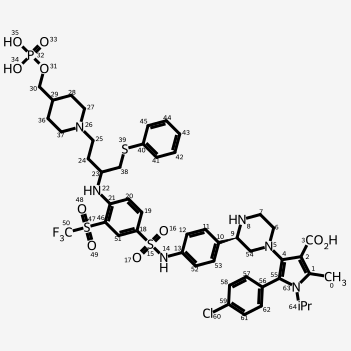 Cc1c(C(=O)O)c(N2CCN[C@H](c3ccc(NS(=O)(=O)c4ccc(NC(CCN5CCC(COP(=O)(O)O)CC5)CSc5ccccc5)c(S(=O)(=O)C(F)(F)F)c4)cc3)C2)c(-c2ccc(Cl)cc2)n1C(C)C